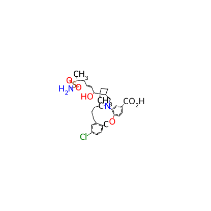 C[C@H](C/C=C/[C@H](O)[C@]1(C)CC[C@H]1CN1CCCCc2cc(Cl)ccc2COc2ccc(C(=O)O)cc21)S(N)(=O)=O